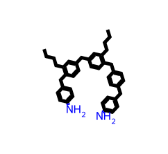 CCCCc1cc(Cc2ccc(Cc3ccc(Cc4ccc(N)cc4)cc3)c(CCCC)c2)ccc1Cc1ccc(N)cc1